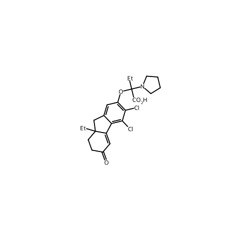 CCC12CCC(=O)C=C1c1c(cc(OC(CC)(C(=O)O)N3CCCC3)c(Cl)c1Cl)C2